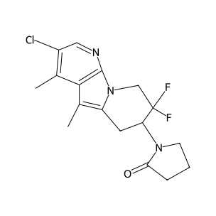 Cc1c(Cl)cnc2c1c(C)c1n2CC(F)(F)C(N2CCCC2=O)C1